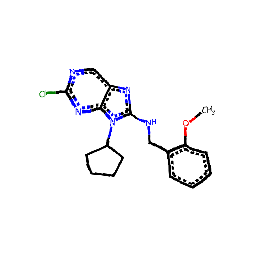 COc1ccccc1CNc1nc2cnc(Cl)nc2n1C1CCCC1